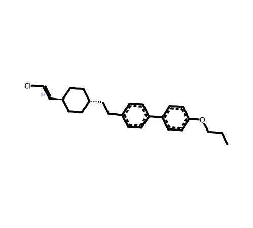 CCCOc1ccc(-c2ccc(CC[C@H]3CC[C@H](/C=C/Cl)CC3)cc2)cc1